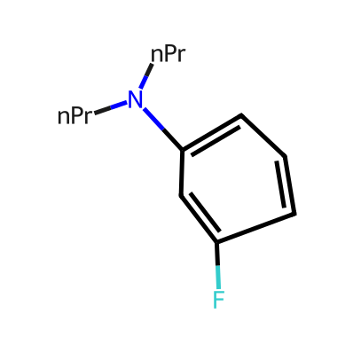 CCCN(CCC)c1cccc(F)c1